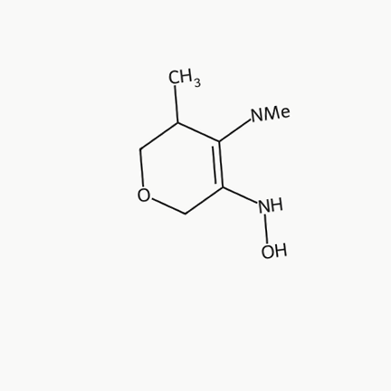 CNC1=C(NO)COCC1C